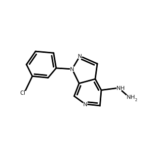 NNc1cncc2c1cnn2-c1cccc(Cl)c1